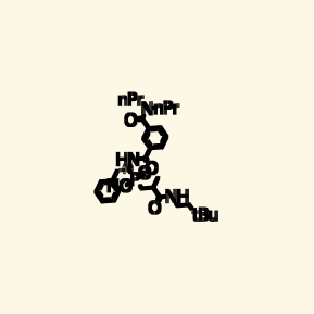 CCCN(CCC)C(=O)c1cccc(C(=O)N[C@@H](Cc2ccccc2)P(=O)(O)CC(C)C(=O)NCCC(C)(C)C)c1